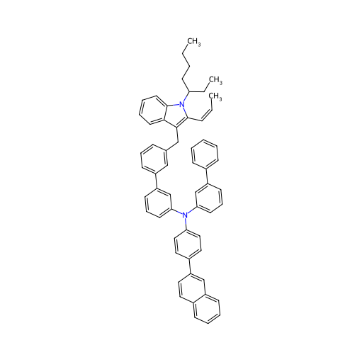 C/C=C\c1c(Cc2cccc(-c3cccc(N(c4ccc(-c5ccc6ccccc6c5)cc4)c4cccc(-c5ccccc5)c4)c3)c2)c2ccccc2n1C(CC)CCCC